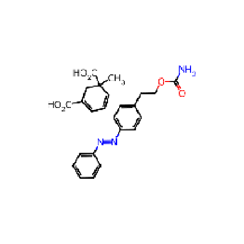 CC1(C(=O)O)C=CC=C(C(=O)O)C1.NC(=O)OCCc1ccc(N=Nc2ccccc2)cc1